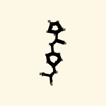 O=C(Oc1ccc(OC(F)F)cc1)c1cocn1